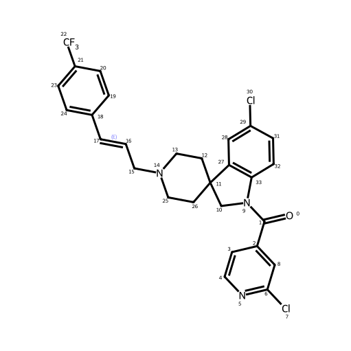 O=C(c1ccnc(Cl)c1)N1CC2(CCN(C/C=C/c3ccc(C(F)(F)F)cc3)CC2)c2cc(Cl)ccc21